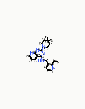 CCc1ncccc1CNc1nc(N2CCC(C)(C)CC2)nc2ncccc12